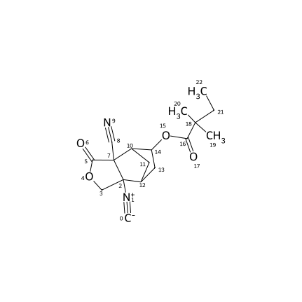 [C-]#[N+]C12COC(=O)C1(C#N)C1CC2CC1OC(=O)C(C)(C)CC